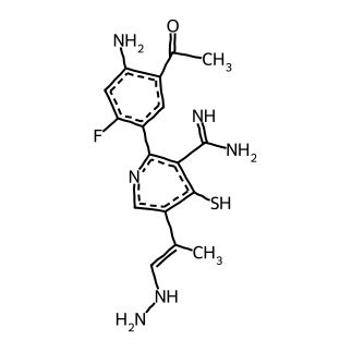 CC(=O)c1cc(-c2ncc(/C(C)=C/NN)c(S)c2C(=N)N)c(F)cc1N